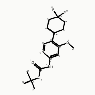 COc1cc(NC(=O)OC(C)(C)C)ncc1C1CCC(F)(F)CC1